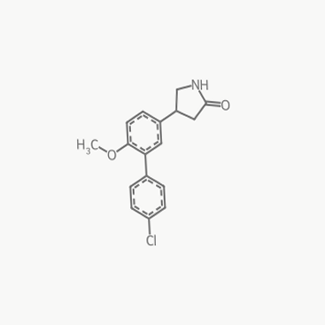 COc1ccc(C2CNC(=O)C2)cc1-c1ccc(Cl)cc1